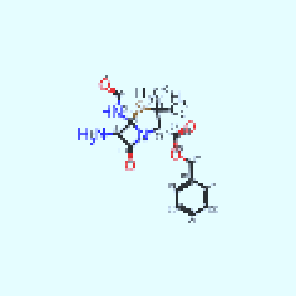 CC1(C)SC2(NC=O)[C@H](N)C(=O)N2[C@H]1C(=O)OCc1ccccc1